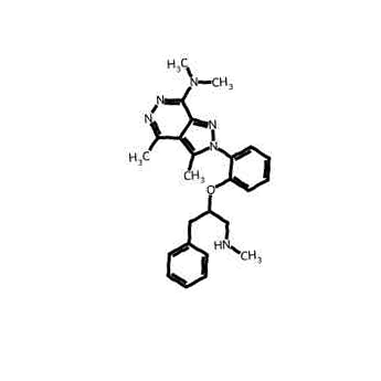 CNCC(Cc1ccccc1)Oc1ccccc1-n1nc2c(N(C)C)nnc(C)c2c1C